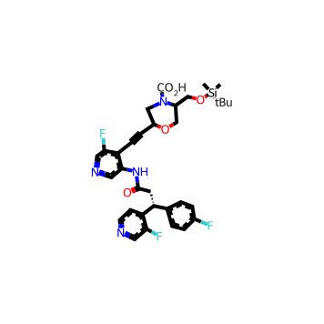 CC(C)(C)[Si](C)(C)OCC1COC(C#Cc2c(F)cncc2NC(=O)C[C@H](c2ccc(F)cc2)c2ccncc2F)CN1C(=O)O